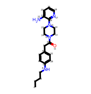 CCCCNc1ccc(CC(=O)N2CCN(c3ncccc3N)CC2)cc1